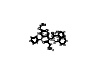 CC(C)(C)OC(=O)N[C@@H](Cc1ccccc1)C(=O)N(C(=O)CN)[C@@H](CC1CCCCC1)C(O)c1ncc[nH]1